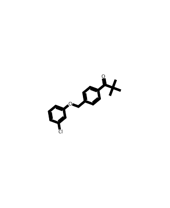 CC(C)(C)C(=O)c1ccc(COc2cccc(Cl)c2)cc1